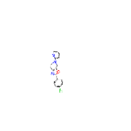 Clc1ccc(-c2nc3c(o2)CN(c2ccccn2)CC3)cc1